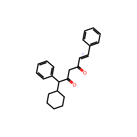 O=C(/C=C/c1ccccc1)CC(=O)C(c1ccccc1)C1CCCCC1